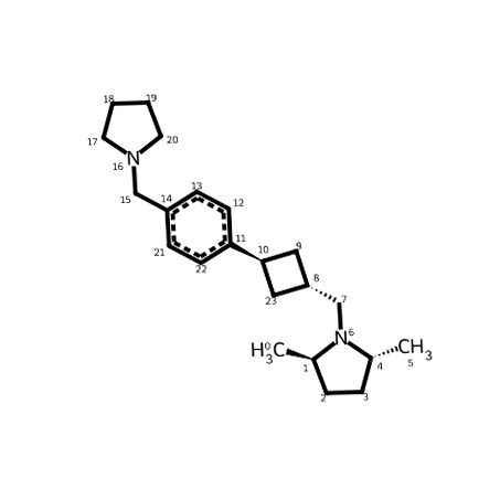 C[C@@H]1CC[C@@H](C)N1C[C@H]1C[C@H](c2ccc(CN3CCCC3)cc2)C1